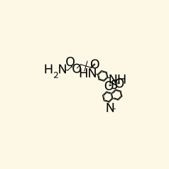 CN(C)c1cccc2c(S(=O)(=O)Nc3ccc(NC(=O)C(C)(C)COC(=O)CN)cc3)cccc12